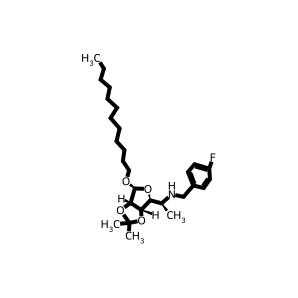 CCCCCCCCCCCCO[C@H]1O[C@H]([C@H](C)NCc2ccc(F)cc2)[C@@H]2OC(C)(C)O[C@H]12